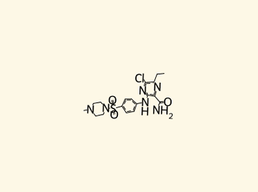 CCc1nc(C(N)=O)c(Nc2ccc(S(=O)(=O)N3CCN(C)CC3)cc2)nc1Cl